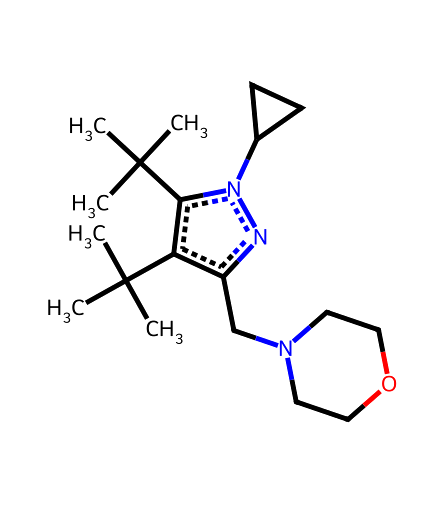 CC(C)(C)c1c(CN2CCOCC2)nn(C2CC2)c1C(C)(C)C